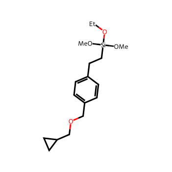 CCO[Si](CCc1ccc(COCC2CC2)cc1)(OC)OC